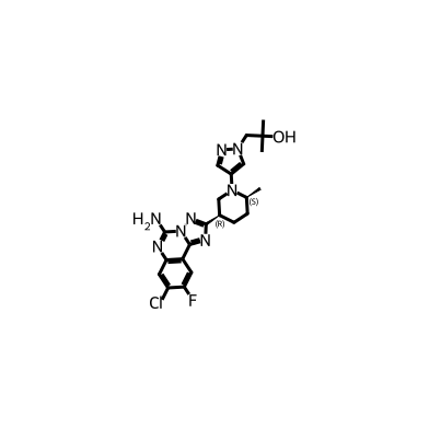 C[C@H]1CC[C@@H](c2nc3c4cc(F)c(Cl)cc4nc(N)n3n2)CN1c1cnn(CC(C)(C)O)c1